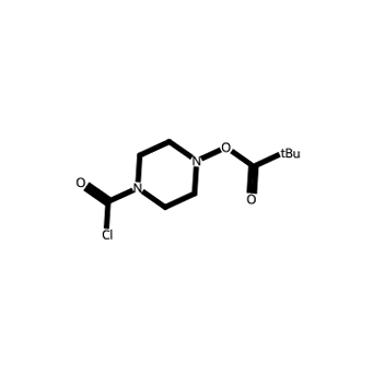 CC(C)(C)C(=O)ON1CCN(C(=O)Cl)CC1